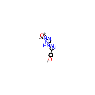 CCOc1ccc(-c2cnnc(Nc3ccnc(N4C[C@@H](C)O[C@@H](C)C4)n3)c2)cc1